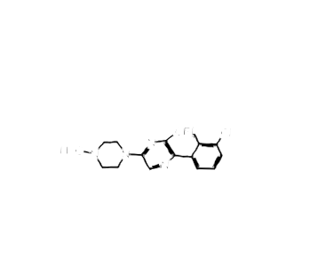 CN1CCN(c2cnc(-c3cccc(Cl)c3Cl)c(C(F)(F)F)n2)CC1